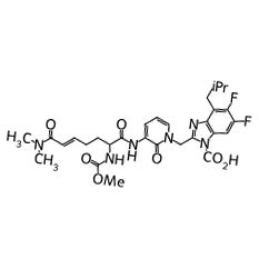 COC(=O)NC(CCC=CC(=O)N(C)C)C(=O)Nc1cccn(Cc2nc3c(CC(C)C)c(F)c(F)cc3n2C(=O)O)c1=O